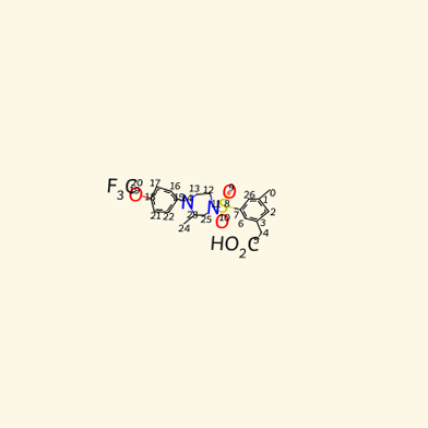 Cc1cc(CC(=O)O)cc(S(=O)(=O)N2CCN(c3ccc(OC(F)(F)F)cc3)C(C)C2)c1